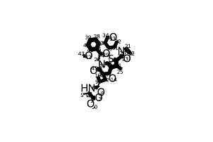 COC(=O)[C@@H](C)NC(=O)[C@H]1C[C@@]2(C1)C(=O)c1c(sc(-c3ncco3)c1C)N(C[C@H](OC1CCOCC1)c1ccccc1OC)C2=O